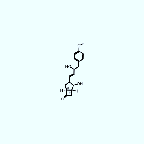 COc1ccc(CC(O)C=CC2C[C@@H]3C(=O)C[C@H]3C2O)cc1